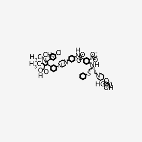 Cc1c(C(=O)O)c(-c2cccc(N3CCN(c4ccc(NS(=O)(=O)c5ccc(N[C@H](CCN6CCC(OP(=O)(O)O)CC6)CSc6ccccc6)c([N+](=O)[O-])c5)cc4)CC3)c2)c(-c2ccc(Cl)cc2)n1C(C)C